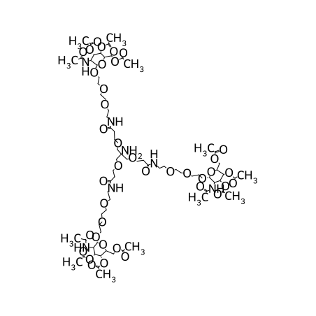 CC(=O)NC1C(OC(C)=O)[C@@H](OC(C)=O)C(COC(C)=O)O[C@H]1OCCOCCOCCNC(=O)CCOCC(N)(COCCC(=O)NCCOCCOCCO[C@@H]1OC(COC(C)=O)[C@H](OC(C)=O)C(OC(C)=O)C1NC(C)=O)COCCC(=O)NCCOCCOCCO[C@@H]1OC(COC(C)=O)[C@H](OC(C)=O)C(OC(C)=O)C1NC(C)=O